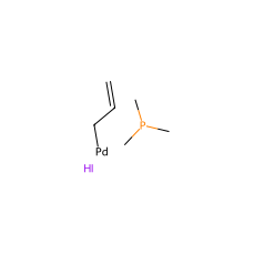 C=C[CH2][Pd].CP(C)C.I